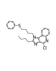 CCCCc1nc2c(Cl)nc3ccccc3c2n1CCCCSc1ccccc1